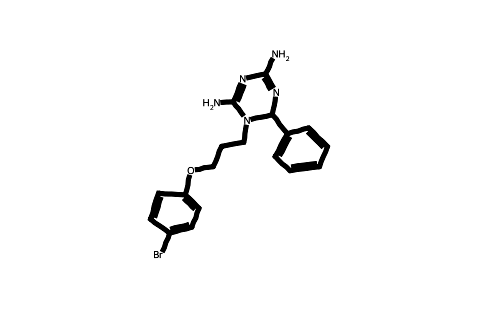 NC1=NC(c2ccccc2)N(CCCOc2ccc(Br)cc2)C(N)=N1